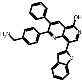 NCc1ccc(-c2nc3c(-c4cc5ccccc5o4)cnc(O)c3cc2-c2ccccc2)cc1